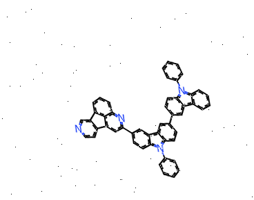 c1ccc(-n2c3ccccc3c3cc(-c4ccc5c(c4)c4cc(-c6cc7c8c(cccc8n6)-c6cnccc6-7)ccc4n5-c4ccccc4)ccc32)cc1